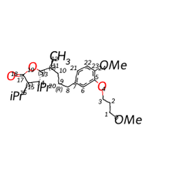 COCCCOc1cc(C[C@@H](C[C@H](C)[C@@H]2C[C@@H](C(C)C)C(=O)O2)C(C)C)ccc1OC